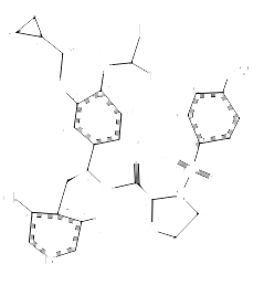 COc1ccc(S(=O)(=O)N2CCS[C@H]2C(=O)O[C@@H](Cc2c(Cl)cncc2Cl)c2ccc(OC(F)F)c(OCC3CC3)c2)cc1